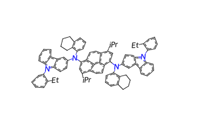 CCc1ccccc1-n1c2ccccc2c2cc(N(c3cccc4c3CCCC4)c3cc(C(C)C)c4ccc5c(N(c6ccc7c(c6)c6ccccc6n7-c6ccccc6CC)c6cccc7c6CCCC7)cc(C(C)C)c6ccc3c4c65)ccc21